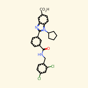 O=C(O)c1ccc2c(c1)nc(-c1cccc(C(=O)NCc3ccc(Cl)cc3Cl)c1)n2C1CCCC1